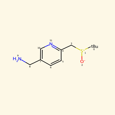 CC(C)(C)[S+]([O-])Cc1ccc(CN)cn1